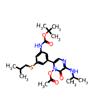 CC(=O)On1c(-c2cc(NC(=O)OC(C)(C)C)cc(SCC(C)C)c2)cnc(NC(C)C)c1=O